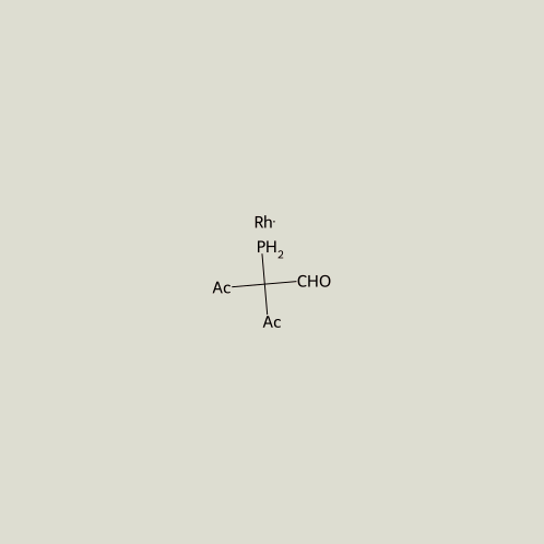 CC(=O)C(P)(C=O)C(C)=O.[Rh]